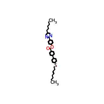 CCCCC=CCCSc1ccc(-c2ccc(C(=O)Oc3ccc(-c4ncc(CCCCCC)cn4)cc3)cc2)cc1